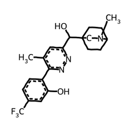 Cc1cc(C(O)C23CCC(CC2)N(C)C3)nnc1-c1ccc(C(F)(F)F)cc1O